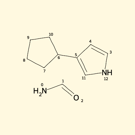 NC=O.c1cc(C2CCCC2)c[nH]1